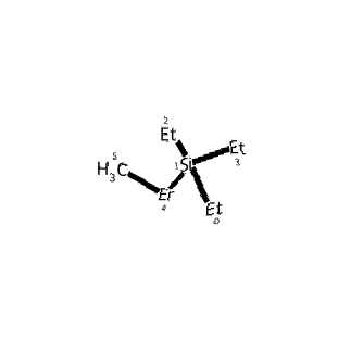 CC[Si](CC)(CC)[Er][CH3]